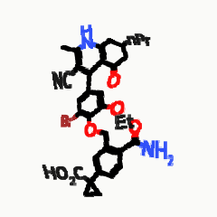 CCCC1CC(=O)C2=C(C1)NC(C)=C(C#N)C2c1cc(Br)c(OCc2cc(C3(C(=O)O)CC3)ccc2C(N)=O)c(OCC)c1